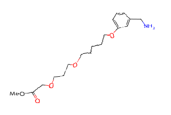 COC(=O)COCCCOCCCCCOc1cccc(CN)c1